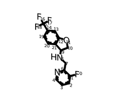 Fc1cccnc1CNC1COc2cc(C(F)(F)F)ccc21